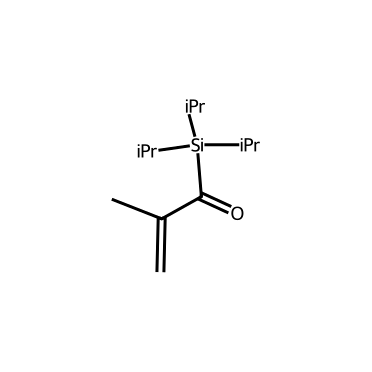 C=C(C)C(=O)[Si](C(C)C)(C(C)C)C(C)C